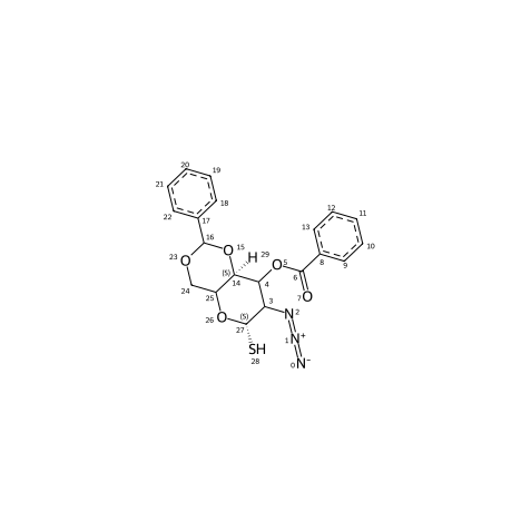 [N-]=[N+]=NC1C(OC(=O)c2ccccc2)[C@@H]2OC(c3ccccc3)OCC2O[C@H]1S